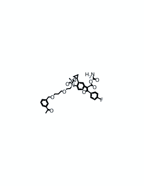 CC(=O)c1cccc(COCCCOCCN(c2cc3oc(-c4ccc(F)cc4)c(C(=O)OC(N)=O)c3cc2C2CC2)S(C)(=O)=O)c1